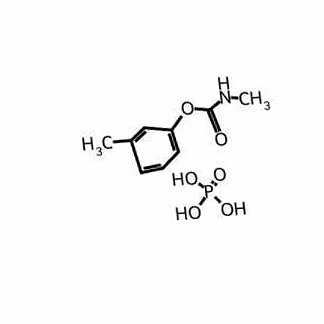 CNC(=O)Oc1cccc(C)c1.O=P(O)(O)O